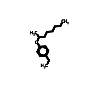 CCCCCCC(C)Oc1ccc(CC)cc1